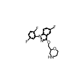 Fc1ccc(F)c(-n2nc(OCC3CNCCO3)c3cc(F)ccc32)c1